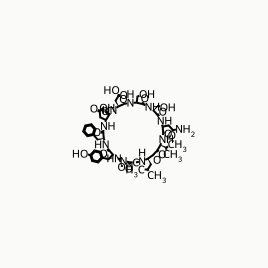 CC(C)C[C@H]1NCC(=O)N(O)NC(Cc2ccc(O)cc2)C(=O)N[C@@H](Cc2ccccc2)C(=O)NC(CC(=O)O)C(=O)N[C@@H](CC(=O)O)C(=O)NC(CO)C(=O)N[C@@H](CO)C(=O)NC(CC(N)=O)C(=O)N[C@@H](C(C)C)C(=O)C1=O